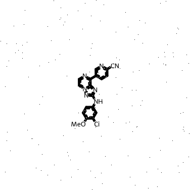 COc1ccc(Nc2nc3c(-c4ccc(C#N)nc4)nccn3n2)cc1Cl